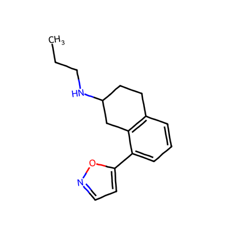 CCCNC1CCc2cccc(-c3ccno3)c2C1